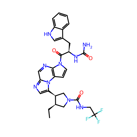 CC[C@@H]1CN(C(=O)NCC(F)(F)F)C[C@@H]1c1cnc2cnc3c(ccn3C(=O)[C@@H](Cc3c[nH]c4ccccc34)NC(N)=O)n12